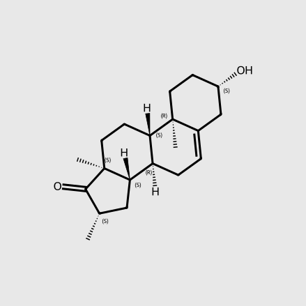 C[C@H]1C[C@H]2[C@@H]3CC=C4C[C@@H](O)CC[C@]4(C)[C@H]3CC[C@]2(C)C1=O